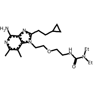 CCN(CC)C(=O)NCCOCCn1c(CCC2CC2)nc2c(N)nc(C)c(C)c21